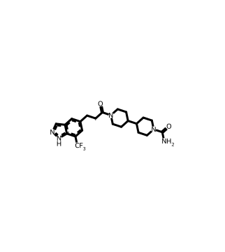 NC(=O)N1CCC(C2CCN(C(=O)[CH]Cc3cc(C(F)(F)F)c4[nH]ncc4c3)CC2)CC1